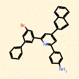 Nc1ccc(-c2cc(-c3ccc4ccccc4c3)cc(-c3cc(Br)cc(-c4ccccc4)c3)n2)cc1